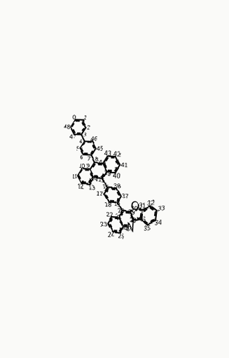 c1ccc(-c2ccc(-c3c4ccccc4c(-c4ccc(-c5c6ccccc6nc6c5oc5ccccc56)cc4)c4ccccc34)cc2)cc1